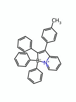 Cc1ccc(C2=C(c3ccccc3)[B-](c3ccccc3)(c3ccccc3)[n+]3ccccc32)cc1